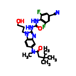 CN(C(=O)CC(C)(C)C)c1ccc2c(c1)nc(NC(=O)Nc1c(F)cc(C#N)cc1F)n2CCCO